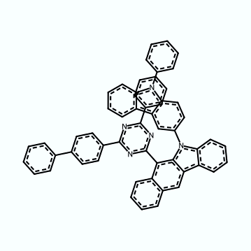 c1ccc(-c2ccc(-c3nc(-c4ccccc4)nc(-c4c5ccccc5cc5c6ccccc6n(-c6ccc7c(c6)c6ccccc6n7-c6ccccc6)c45)n3)cc2)cc1